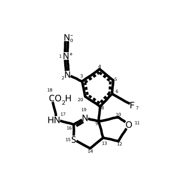 [N-]=[N+]=Nc1ccc(F)c(C23COCC2CSC(NC(=O)O)=N3)c1